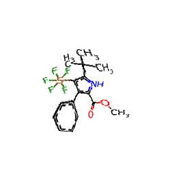 COC(=O)c1[nH]c(C(C)(C)C)c(S(F)(F)(F)(F)F)c1-c1ccccc1